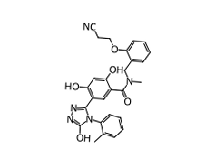 Cc1ccccc1-n1c(O)nnc1-c1cc(C(=O)N(C)Cc2ccccc2OCCC#N)c(O)cc1O